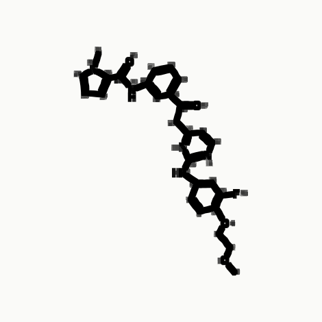 COCCOc1ccc(Nc2nccc(CC(=O)c3cccc(NC(=O)c4cccn4C)c3)n2)cc1F